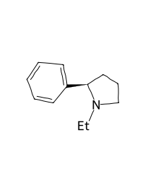 CCN1CCC[C@@H]1c1ccccc1